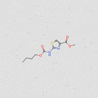 CCCCOC(=O)Nc1nc(C(=O)OC)cs1